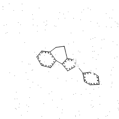 c1ccc(-n2cc3c(n2)CCc2ccccc2-3)nc1